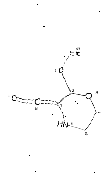 CCOC1OCCNC1=C=O